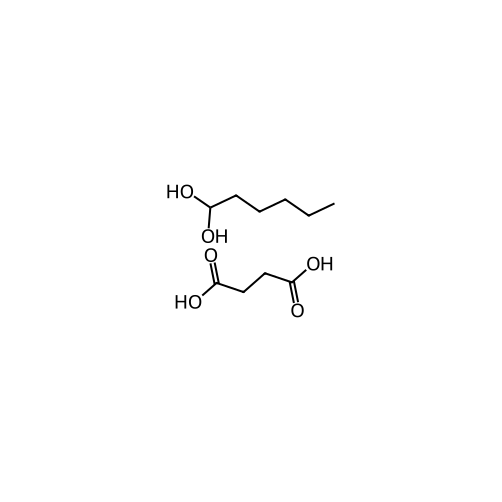 CCCCCC(O)O.O=C(O)CCC(=O)O